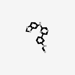 O=CNc1cccc(-c2cncc(Nc3ccc4c(c3)OCO4)n2)c1